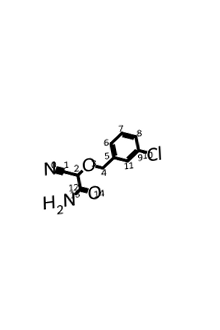 N#CC(OCc1cccc(Cl)c1)C(N)=O